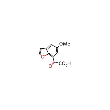 COc1cc(C(=O)C(=O)O)c2occc2c1